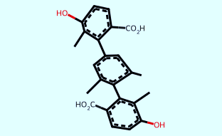 Cc1cc(-c2c(C(=O)O)ccc(O)c2C)cc(C)c1-c1c(C(=O)O)ccc(O)c1C